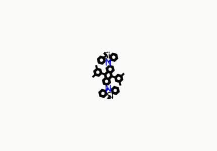 Cc1cc(C)cc(-c2c3ccc(N4c5ccccc5[Si](C)(C)c5ccccc54)cc3c(-c3cc(C)cc(C)c3)c3ccc(N4c5ccccc5[Si](C)(C)c5ccccc54)cc23)c1